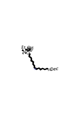 CCCCCCCCCCCCCCC/C=C\CCCCCCCOP(=O)(O)C(CC)[N+](C)(C)C